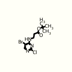 CC(C)(C)OC(=O)CCNc1nc(Cl)ncc1Br